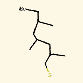 CCC(C)CC(C)CC(C)CC(C)C[S]